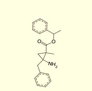 CC(OC(=O)C1(C)CC1(N)Cc1ccccc1)c1ccccc1